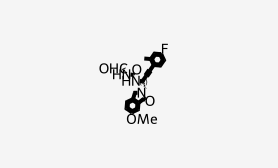 COc1ccc2c(c1)C(=O)N(C[C@@H](C#Cc1ccc(F)cc1C)NC(=O)NC=O)C2